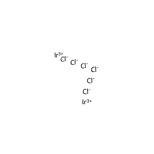 [Cl-].[Cl-].[Cl-].[Cl-].[Cl-].[Cl-].[Ir+3].[Ir+3]